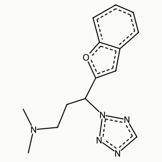 CN(C)CCC(c1cc2ccccc2o1)n1ncnn1